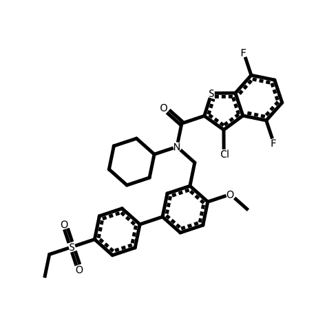 CCS(=O)(=O)c1ccc(-c2ccc(OC)c(CN(C(=O)c3sc4c(F)ccc(F)c4c3Cl)C3CCCCC3)c2)cc1